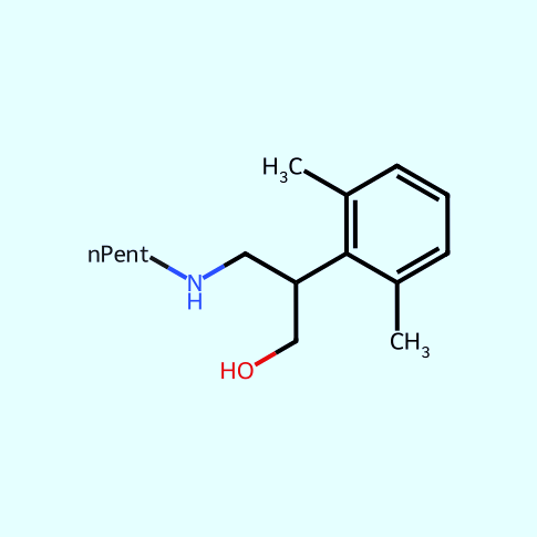 CCCCCNCC(CO)c1c(C)cccc1C